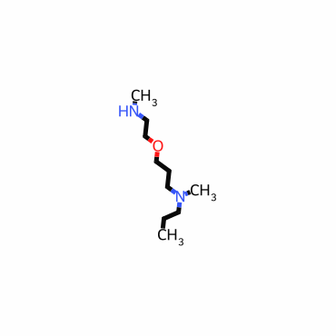 CCCN(C)CCCOCCNC